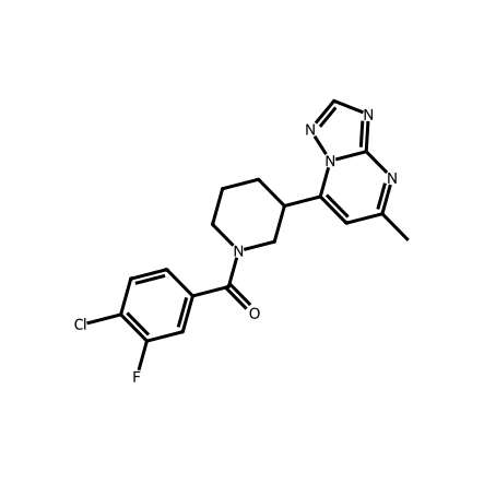 Cc1cc(C2CCCN(C(=O)c3ccc(Cl)c(F)c3)C2)n2ncnc2n1